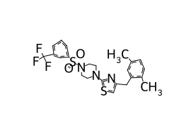 Cc1ccc(C)c(Cc2csc(N3CCN(S(=O)(=O)c4cccc(C(F)(F)F)c4)CC3)n2)c1